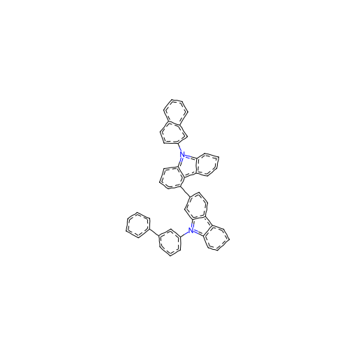 c1ccc(-c2cccc(-n3c4ccccc4c4ccc(-c5cccc6c5c5ccccc5n6-c5ccc6ccccc6c5)cc43)c2)cc1